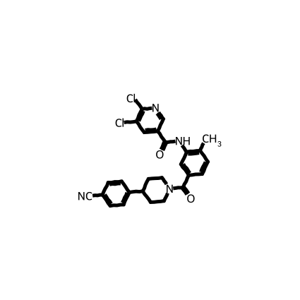 Cc1ccc(C(=O)N2CCC(c3ccc(C#N)cc3)CC2)cc1NC(=O)c1cnc(Cl)c(Cl)c1